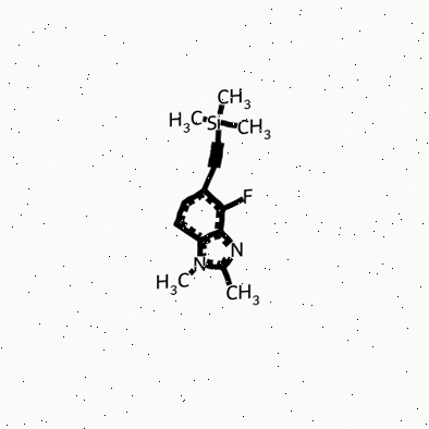 Cc1nc2c(F)c(C#C[Si](C)(C)C)ccc2n1C